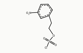 O=[N+]([O-])c1cccc(CCOS(=O)(=O)Cl)c1